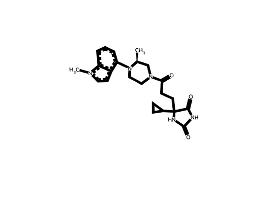 C[C@H]1CN(C(=O)CCC2(C3CC3)NC(=O)NC2=O)CCN1c1cccc2c1ccn2C